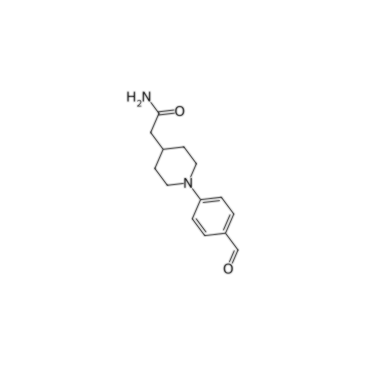 NC(=O)CC1CCN(c2ccc(C=O)cc2)CC1